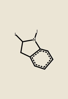 IC1Cc2ccccc2N1I